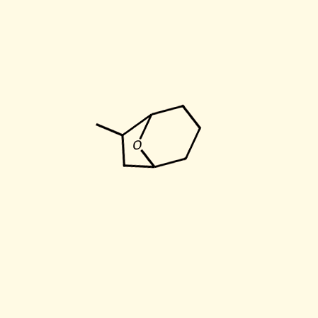 CC1CC2CCCC1O2